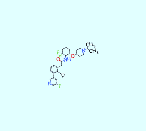 CC(C)N1CCC(O[C@H]2CCCC(F)(F)[C@@H]2NC(=O)Cc2cccc(-c3cncc(F)c3)c2C2CC2)CC1